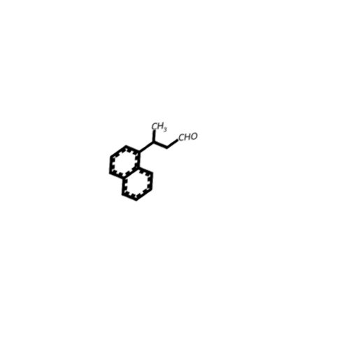 CC(CC=O)c1cccc2ccccc12